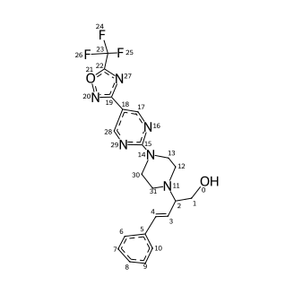 OCC(/C=C/c1ccccc1)N1CCN(c2ncc(-c3noc(C(F)(F)F)n3)cn2)CC1